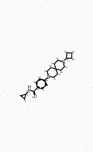 O=C(NC1CC1)c1ccc(N2CCC3(CC2)CCN(C2CCC2)CC3)cc1